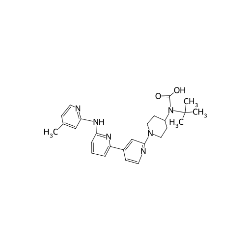 Cc1ccnc(Nc2cccc(-c3ccnc(N4CCC(N(C(=O)O)C(C)(C)C)CC4)c3)n2)c1